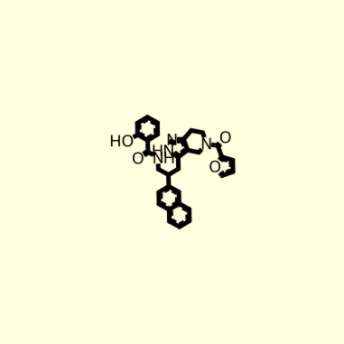 O=C(NCC(Cc1[nH]nc2c1CN(C(=O)c1ccco1)CC2)c1ccc2ccccc2c1)c1ccccc1O